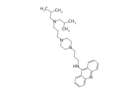 CC(C)CN(CCCN1CCN(CCCNc2c3ccccc3nc3ccccc23)CC1)CC(C)C